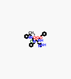 C[C@H](CNC(=O)CN(Cc1ccccc1Cl)C(=O)[C@H](Cc1c[nH]cn1)NC(=O)OCc1ccccc1)c1ccccc1